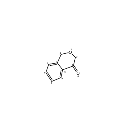 O=C1CO[CH]c2ccccc21